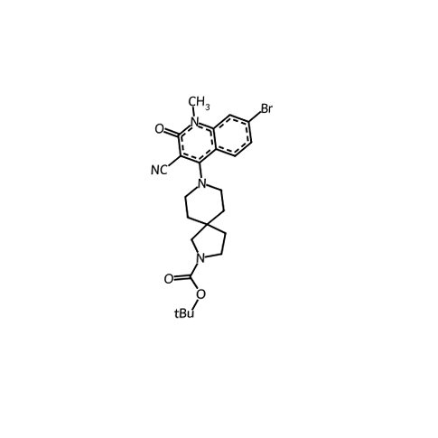 Cn1c(=O)c(C#N)c(N2CCC3(CCN(C(=O)OC(C)(C)C)C3)CC2)c2ccc(Br)cc21